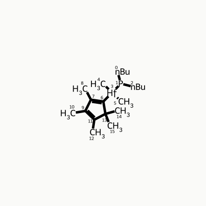 CCCC[P](CCCC)[Hf]([CH3])([CH3])[C]1=C(C)C(C)=C(C)C1(C)C